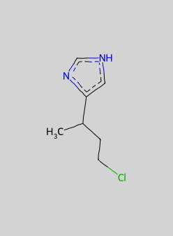 CC(CCCl)c1c[nH]cn1